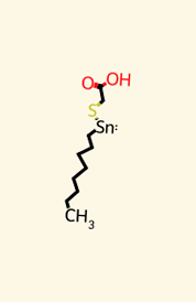 CCCCCCC[CH2][Sn][S]CC(=O)O